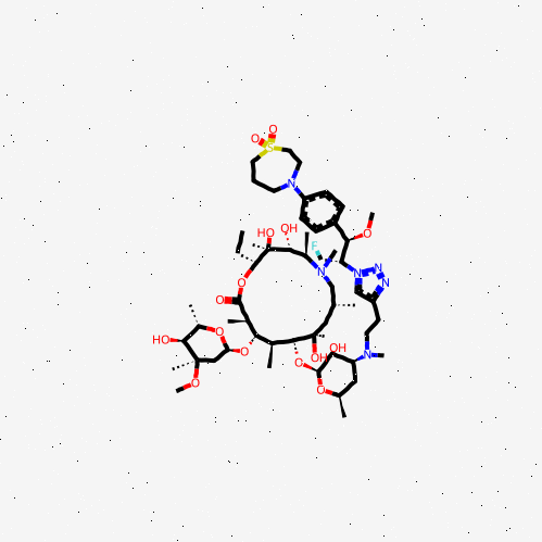 CC[C@H]1OC(=O)[C@H](C)[C@@H](O[C@H]2C[C@@](C)(OC)[C@@H](O)[C@H](C)O2)[C@H](C)[C@@H](O[C@@H]2O[C@H](C)C[C@H](N(C)CCc3cn([C@H](CF)[C@H](OC)c4ccc(N5CCCS(=O)(=O)CC5)cc4)nn3)[C@H]2O)[C@](C)(O)C[C@@H](C)CN(C)[C@H](C)[C@@H](O)[C@]1(C)O